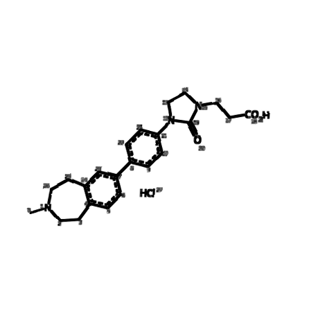 CN1CCc2ccc(-c3ccc(N4CCN(CCC(=O)O)C4=O)cc3)cc2CC1.Cl